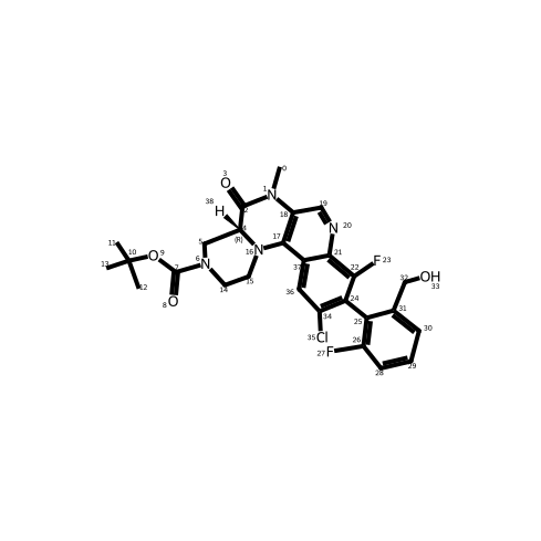 CN1C(=O)[C@H]2CN(C(=O)OC(C)(C)C)CCN2c2c1cnc1c(F)c(-c3c(F)cccc3CO)c(Cl)cc21